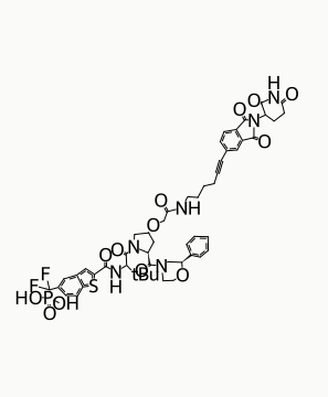 CC(C)(C)C(NC(=O)c1cc2cc(C(F)(F)P(=O)(O)O)ccc2s1)C(=O)N1C[C@@H](OCC(=O)NCCCCC#Cc2ccc3c(c2)C(=O)N(C2CCC(=O)NC2=O)C3=O)C[C@H]1C(=O)N1CCO[C@H](c2ccccc2)C1